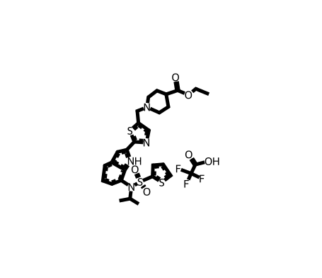 CCOC(=O)C1CCN(Cc2cnc(-c3cc4cccc(N(C(C)C)S(=O)(=O)c5cccs5)c4[nH]3)s2)CC1.O=C(O)C(F)(F)F